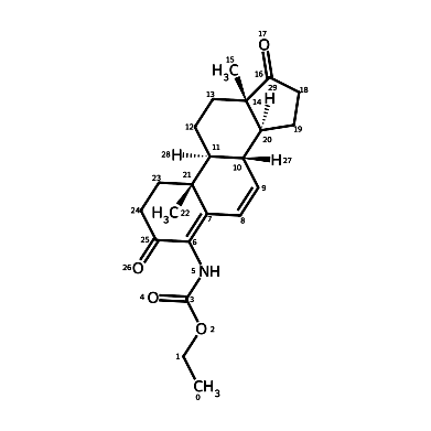 CCOC(=O)NC1=C2C=C[C@@H]3[C@H](CC[C@]4(C)C(=O)CC[C@@H]34)[C@@]2(C)CCC1=O